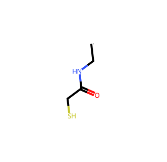 [CH2]CNC(=O)CS